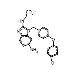 Nc1ccc2nc(NCC(=O)O)n(Cc3ccc(Oc4ccc(Cl)cc4)cc3)c2c1